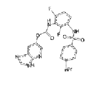 CCCc1ccc(S(=O)(=O)Nc2ccc(F)c(NC(=O)Oc3cnc4[nH]cnc4c3)c2F)cc1